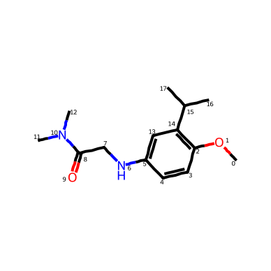 COc1ccc(NCC(=O)N(C)C)cc1C(C)C